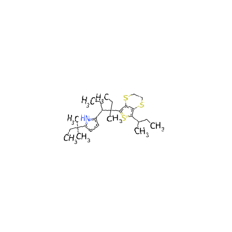 CCC(C)c1sc(C(C)(CC)C(CC)c2ccc(C(C)(C)CC)[nH]2)c2c1SCCS2